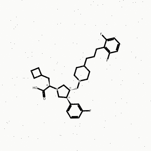 O=C(O)[C@@H](CC1CCC1)N1C[C@H](CN2CCC(CCCc3c(F)cccc3F)CC2)[C@@H](c2cccc(F)c2)C1